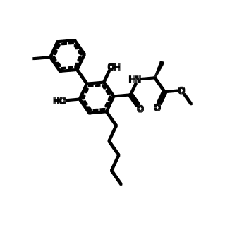 CCCCCc1cc(O)c(-c2cccc(C)c2)c(O)c1C(=O)N[C@@H](C)C(=O)OC